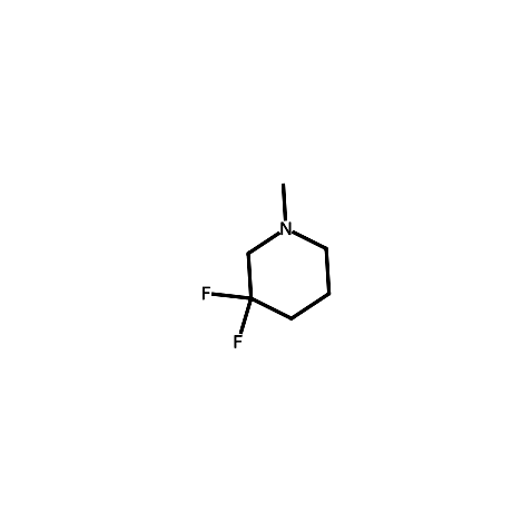 CN1CCCC(F)(F)C1